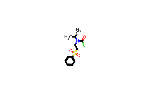 CC(C)N(CCS(=O)(=O)c1ccccc1)C(=O)Cl